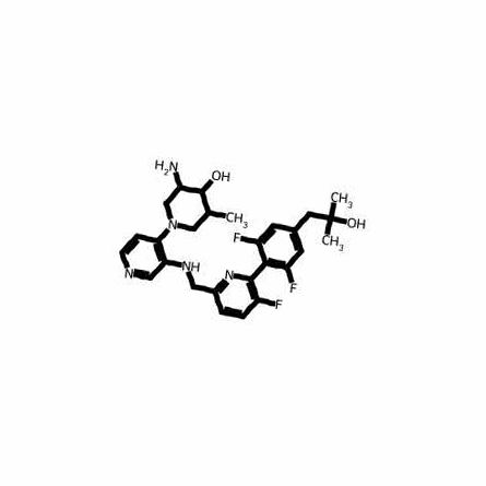 CC1CN(c2ccncc2NCc2ccc(F)c(-c3c(F)cc(CC(C)(C)O)cc3F)n2)CC(N)C1O